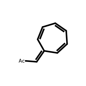 CC(=O)C=C1C=CC=CC=C1